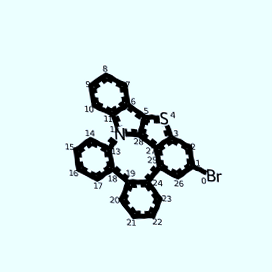 Brc1cc2sc3c4ccccc4n4c5ccccc5c5ccccc5c(c1)c2c34